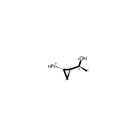 CCC[C@H]1C[C@@H]1[C@H](C)O